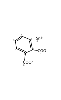 O=C([O-])c1ccccc1C(=O)[O-].[Sn+2]